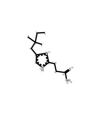 CCC(C)(C)Cc1c[nH]c(CCC(N)=S)n1